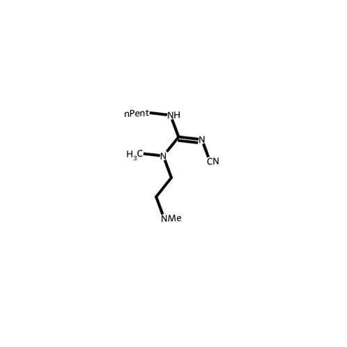 CCCCCN/C(=N/C#N)N(C)CCNC